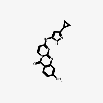 Nc1ccc2c(=O)n3ccc(Nc4cc(C5CC5)n[nH]4)nc3nc2c1